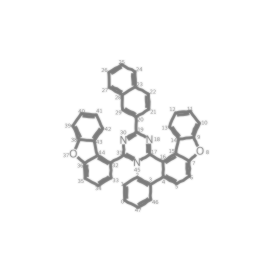 c1ccc(-c2ccc3oc4ccccc4c3c2-c2nc(-c3ccc4ccccc4c3)nc(-c3cccc4oc5ccccc5c34)n2)cc1